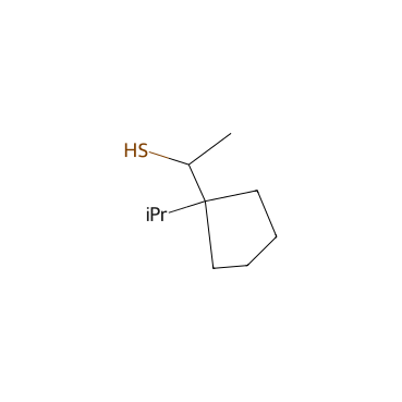 CC(C)C1(C(C)S)CCCC1